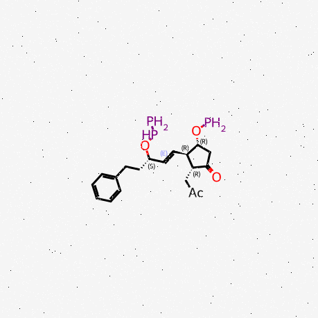 CC(=O)C[C@H]1C(=O)C[C@@H](OP)[C@@H]1/C=C/[C@H](CCc1ccccc1)OPP